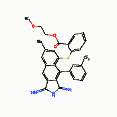 CCOCCOC(=O)c1ccccc1Sc1cc(C(C)(C)C)cc2cc3c(c(-c4cccc(C(F)(F)F)c4)c12)C(=N)NC3=N